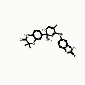 CC1=CNC(N)(c2ccc3c(c2)OC(C)(C)C(=O)N3)N=C1Nc1ccc2oc(=O)[nH]c2c1